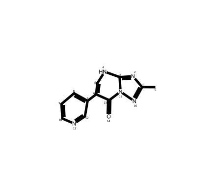 Cc1nc2[nH]cc(-c3cccnc3)c(=O)n2n1